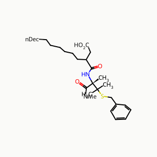 CCCCCCCCCCCCCCCCC(CC(=O)O)C(=O)N[C@@](C)(C(=O)NC)C(C)(C)SCc1ccccc1